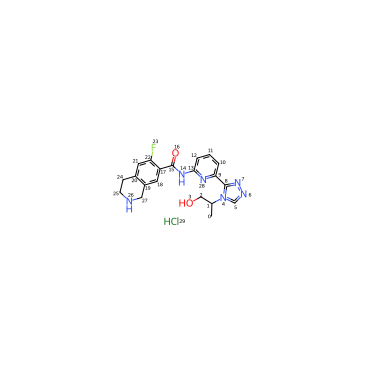 CC(CO)n1cnnc1-c1cccc(NC(=O)c2cc3c(cc2F)CCNC3)n1.Cl